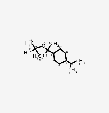 CC(C)C1CCC(C(C)(C)OC(C)(C)C)CC1